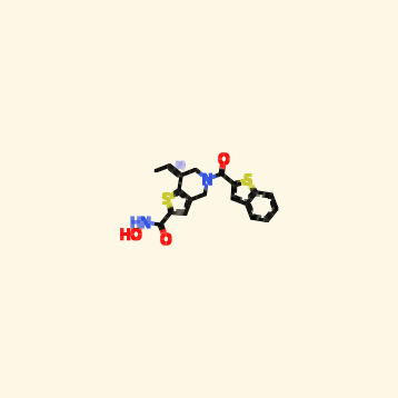 C/C=C1/CN(C(=O)c2cc3ccccc3s2)Cc2cc(C(=O)NO)sc21